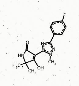 Cn1nc(-c2ccc(F)cc2)nc1C1=C(O)C(C)(C)NC1=O